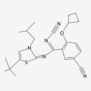 CC(C)Cn1cc(C(C)(C)C)sc1=NC(=NC#N)c1cc(C#N)ccc1OC1CCC1